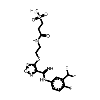 CS(=O)(=O)CCC(=O)NCCSc1nonc1C(=N)Nc1ccc(F)c(C(F)F)c1